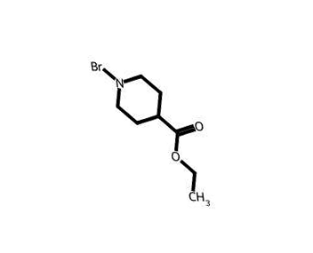 CCOC(=O)C1CCN(Br)CC1